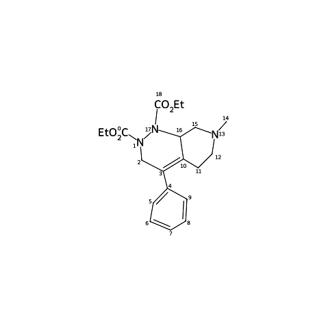 CCOC(=O)N1CC(c2ccccc2)=C2CCN(C)CC2N1C(=O)OCC